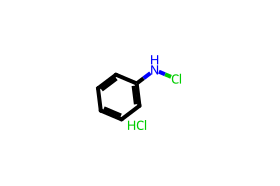 Cl.ClNc1ccccc1